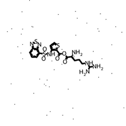 NC(N)NCCC[C@H](N)C(=O)OC(=O)c1sccc1NS(=O)(=O)c1cccc2nsnc12